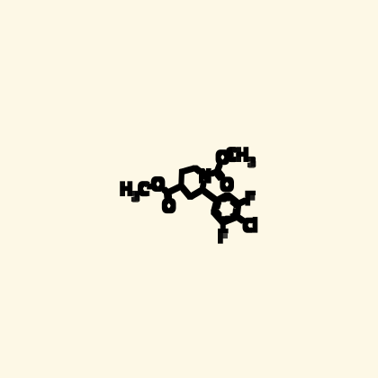 COC(=O)C1CCN(C(=O)OC)C(c2cc(F)c(Cl)c(F)c2)C1